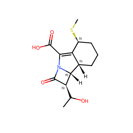 CS[C@H]1CCC[C@H]2C1=C(C(=O)O)N1C(=O)[C@H](C(C)O)[C@@H]21